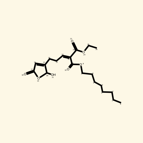 CCCCCCCCOC(=O)C(=CCCC1=CC(=O)OC1O)C(=O)OCC